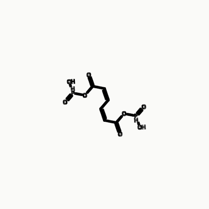 O=C(/C=C\C=C/C(=O)O[PH](=O)O)O[PH](=O)O